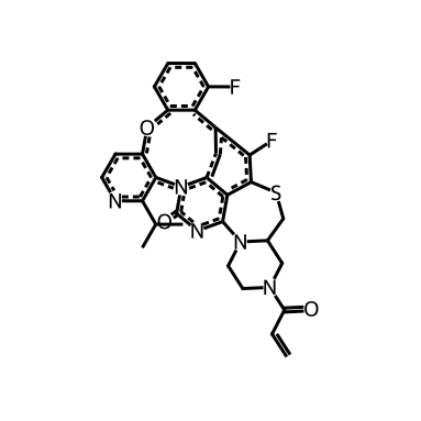 C=CC(=O)N1CCN2c3nc(=O)n4c5cc(c(F)c(c35)SCC2C1)c1c(F)cccc1oc1ccnc(C(C)C)c14